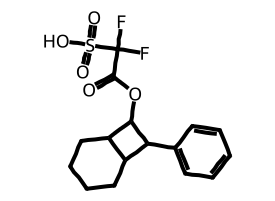 O=C(OC1C2CCCCC2C1c1ccccc1)C(F)(F)S(=O)(=O)O